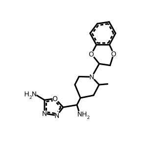 CC1CC(C(N)c2nnc(N)o2)CCN1C1COc2ccccc2O1